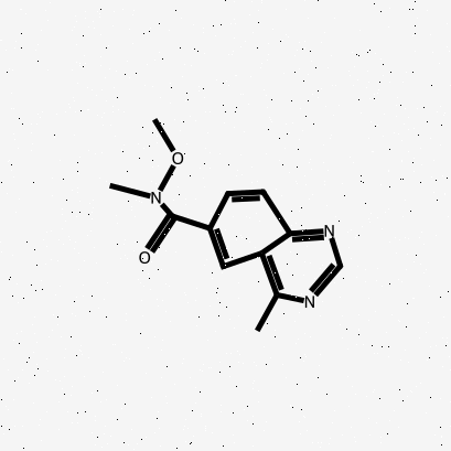 CON(C)C(=O)c1ccc2ncnc(C)c2c1